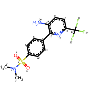 CN(C)S(=O)(=O)c1ccc(-c2nc(C(F)(F)F)ccc2N)cc1